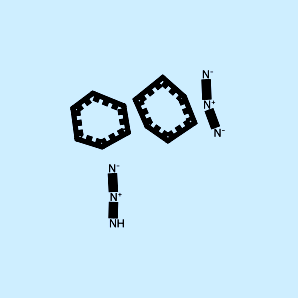 [N-]=[N+]=N.[N-]=[N+]=[N-].c1ccccc1.c1ccccc1